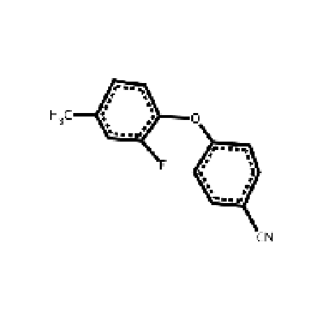 Cc1ccc(Oc2ccc(C#N)cc2)c(F)c1